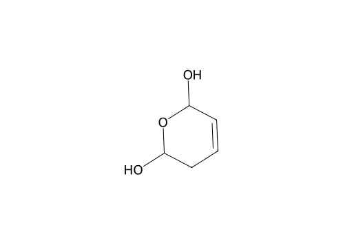 OC1C=CCC(O)O1